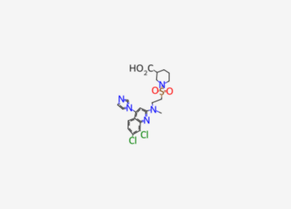 CN(CCS(=O)(=O)N1CCCC(C(=O)O)C1)c1cc(-n2ccnc2)c2ccc(Cl)c(Cl)c2n1